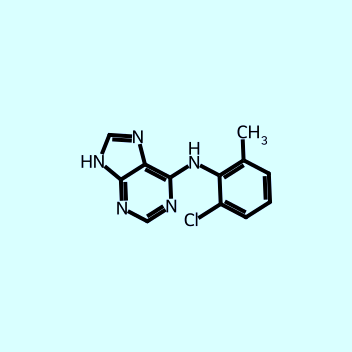 Cc1cccc(Cl)c1Nc1ncnc2[nH]cnc12